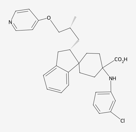 C[C@@H](COc1ccncc1)C[C@H]1Cc2ccccc2C12CCC(Nc1cccc(Cl)c1)(C(=O)O)CC2